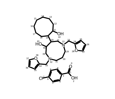 O=C(O)c1ccc(Cl)cc1.OC1CCCCCCCC1C1CN(Cc2ccco2)CCCN(Cc2ccco2)CC1O